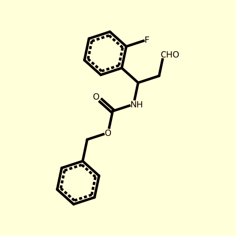 O=CCC(NC(=O)OCc1ccccc1)c1ccccc1F